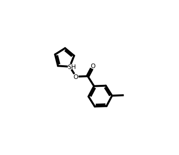 Cc1cccc(C(=O)O[SH]2C=CC=C2)c1